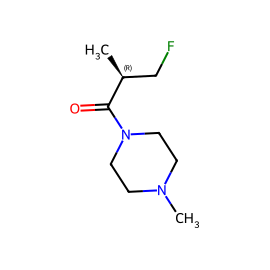 C[C@@H](CF)C(=O)N1CCN(C)CC1